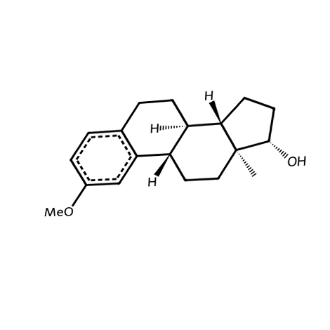 COc1ccc2c(c1)[C@H]1CC[C@]3(C)[C@@H](O)CC[C@H]3[C@@H]1CC2